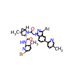 CC(=O)c1nn(CC(=O)N2[C@H](C(=O)Nc3nc(Br)ccc3C)C[C@@]3(C)C[C@@H]23)c2ccc(-c3ccc(C)cn3)cc12